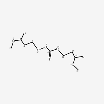 COC(C)CCOOC(=O)OCCC(C)OC